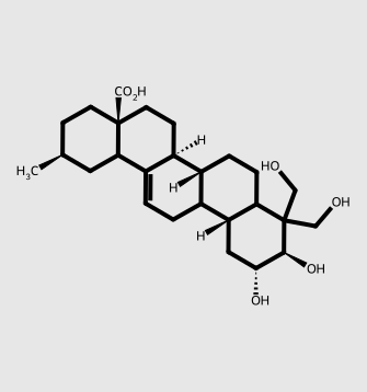 C[C@H]1CC[C@]2(C(=O)O)CC[C@@H]3C(=CCC4[C@H]5C[C@@H](O)[C@H](O)C(CO)(CO)C5CC[C@H]43)C2C1